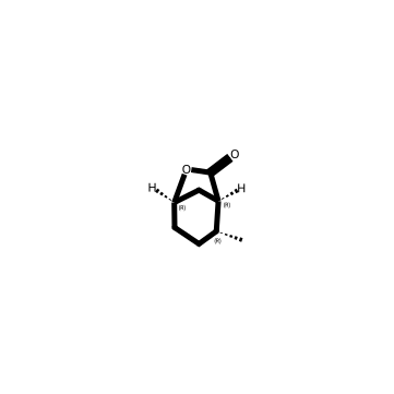 C[C@@H]1CC[C@@H]2C[C@H]1C(=O)O2